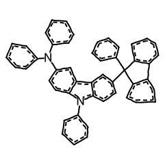 c1ccc(N(c2ccccc2)c2ccc3c(c2)c2cc(C4(c5ccccc5)c5ccccc5-c5ccccc54)ccc2n3-c2ccccc2)cc1